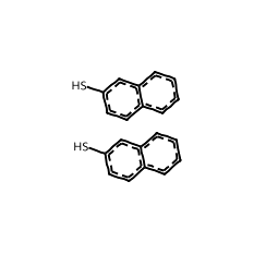 Sc1ccc2ccccc2c1.Sc1ccc2ccccc2c1